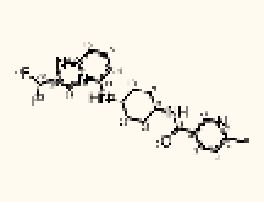 Cc1ccc(C(=O)NC2CCC(Nc3cccc4nc(C(F)F)cn34)CC2)cn1